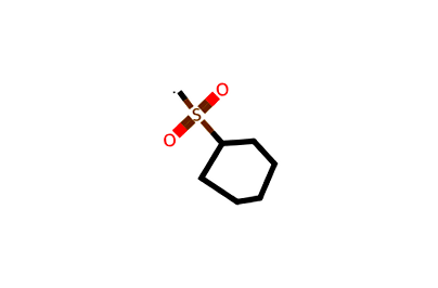 [CH2]S(=O)(=O)C1CCCCC1